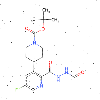 CC(C)(C)OC(=O)N1CCC(c2cc(F)cnc2C(=O)NNC=O)CC1